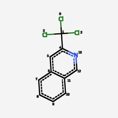 ClC(Cl)(Cl)c1cc2ccccc2cn1